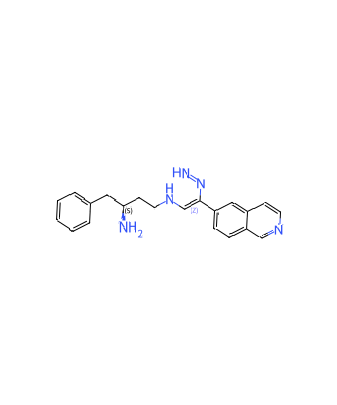 N=N/C(=C\NCC[C@@H](N)Cc1ccccc1)c1ccc2cnccc2c1